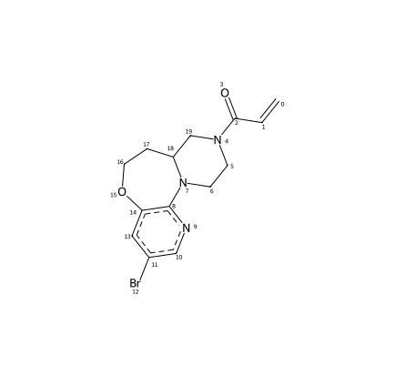 C=CC(=O)N1CCN2c3ncc(Br)cc3OCCC2C1